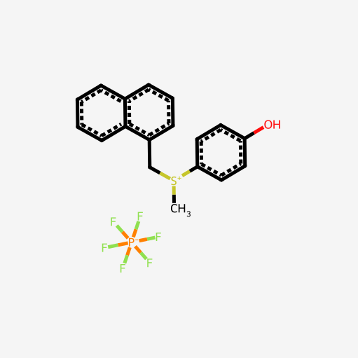 C[S+](Cc1cccc2ccccc12)c1ccc(O)cc1.F[P-](F)(F)(F)(F)F